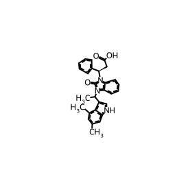 Cc1cc(C)c2c(C(C)n3c(=O)n([C@H](CC(=O)O)c4ccccc4)c4ccccc43)c[nH]c2c1